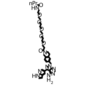 CCCC(=O)NCCOCCOCCOCCOCCOCCC(=O)N1CCc2cc(Cn3nc(-c4cnc5[nH]ccc5c4)c4c(N)ncnc43)ccc2C1